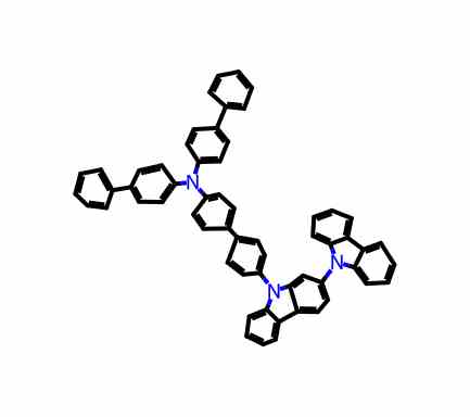 c1ccc(-c2ccc(N(c3ccc(-c4ccccc4)cc3)c3ccc(-c4ccc(-n5c6ccccc6c6ccc(-n7c8ccccc8c8ccccc87)cc65)cc4)cc3)cc2)cc1